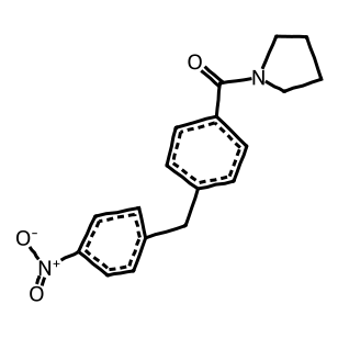 O=C(c1ccc(Cc2ccc([N+](=O)[O-])cc2)cc1)N1CCCC1